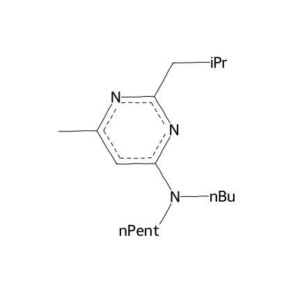 CCCCCN(CCCC)c1cc(C)nc(CC(C)C)n1